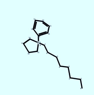 CCCCCCCC[N+]1(c2ccccc2)CCCC1